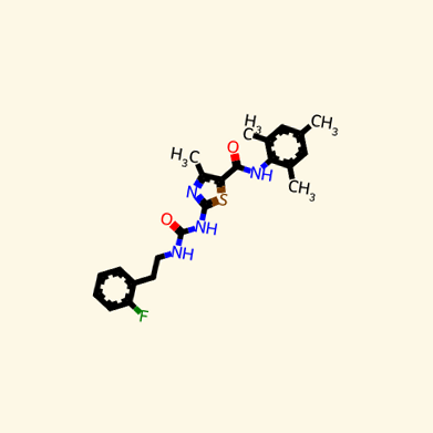 Cc1cc(C)c(NC(=O)c2sc(NC(=O)NCCc3ccccc3F)nc2C)c(C)c1